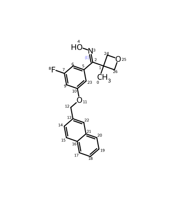 CC1(/C(=N/O)c2cc(F)cc(OCc3ccc4ccccc4c3)c2)COC1